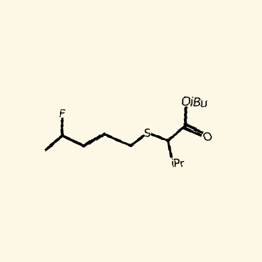 CC(C)COC(=O)C(SCCCC(C)F)C(C)C